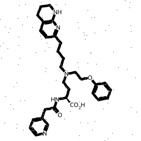 O=C(Cc1cccnc1)N[C@@H](CCN(CCCCc1ccc2c(n1)NCCC2)CCOc1ccccc1)C(=O)O